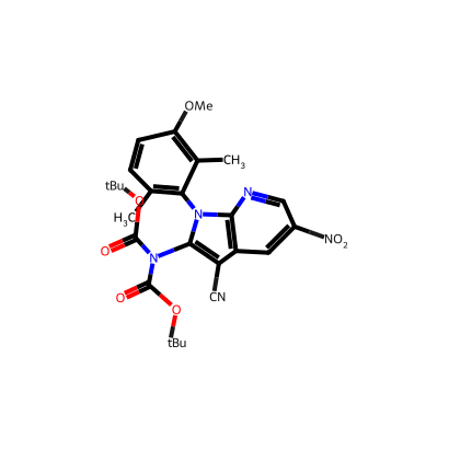 COc1ccc(C)c(-n2c(N(C(=O)OC(C)(C)C)C(=O)OC(C)(C)C)c(C#N)c3cc([N+](=O)[O-])cnc32)c1C